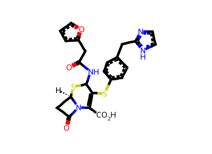 O=C(Cc1ccco1)NC1S[C@@H]2CC(=O)N2C(C(=O)O)=C1Sc1ccc(Cc2ncc[nH]2)cc1